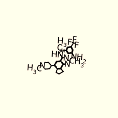 Cc1nc(N[C@H](C)c2cc(N)cc(C(F)(F)F)c2)c2cc(C3CCN(C)CC3)c3c(c2n1)CCC3